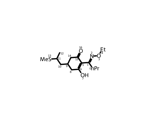 CCCC(=NOCC)C1=C(O)CC(CC(C)SC)CC1=O